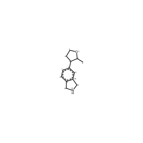 CC1OCCC1c1ccc2c(c1)CNC2